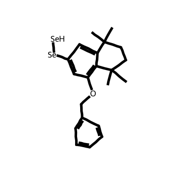 CC1(C)CCC(C)(C)c2c(OCc3ccccc3)cc([Se][SeH])cc21